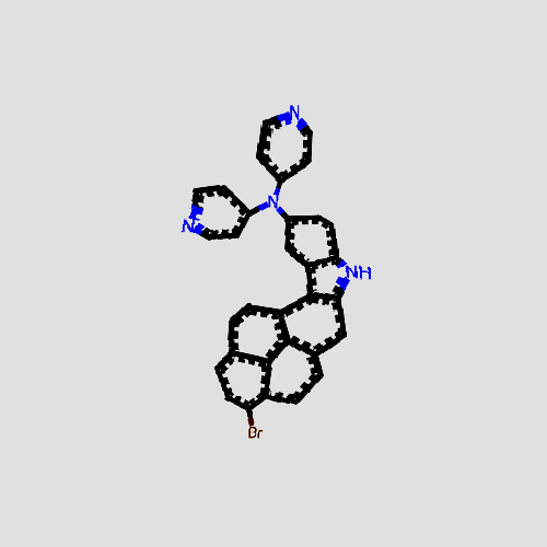 Brc1ccc2ccc3c4c(cc5ccc1c2c53)[nH]c1ccc(N(c2ccncc2)c2ccncc2)cc14